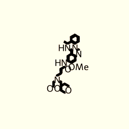 COc1cc2ncnc(NC(C)c3ccccc3)c2cc1NC(=O)C=CCN1CC(=O)OC2(CCOCC2)C1